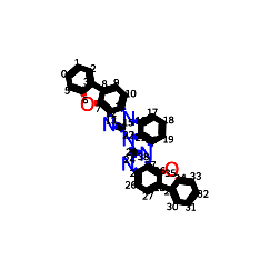 c1ccc2c(c1)oc1c2ccc2c1nc1n2c2cccc3c2n1c1nc2ccc4c5ccccc5oc4c2n31